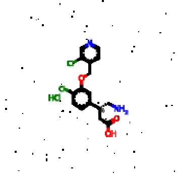 Cl.NC[C@H](CC(=O)O)c1ccc(Cl)c(OCc2ccncc2Cl)c1